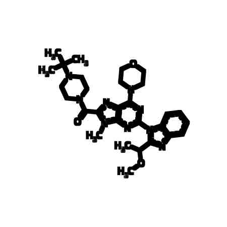 COC(C)c1nc2ccccc2n1-c1nc(N2CCOCC2)c2nc(C(=O)N3CCN(C(C)(C)C)CC3)n(C)c2n1